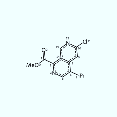 COC(=O)c1ncc(C(C)C)c2cc(Cl)ncc12